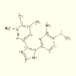 CSc1ccc(-c2[nH]nnc2-c2cc(C)c(C)c(C)c2)cc1N